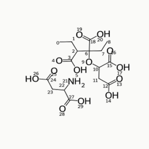 CCC(C(=O)O)C(CC)(OC(CC(=O)O)C(=O)O)C(=O)O.NC(CC(=O)O)C(=O)O